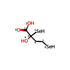 O=C(O)C(O)([SeH])CC[SeH]